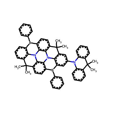 CC1(C)c2ccccc2N(c2cc3c4c(c2)C(C)(C)c2ccc5c6c2N4c2c(ccc4c2N6c2c(cccc2C4(C)C)B5c2ccccc2)B3c2ccccc2)c2ccccc21